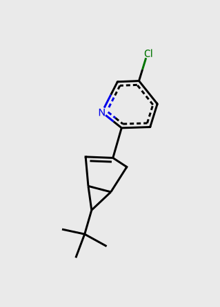 CC(C)(C)C1C2C=C(c3ccc(Cl)cn3)CC21